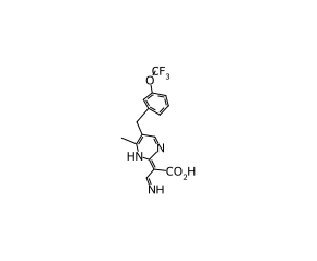 CC1=C(Cc2cccc(OC(F)(F)F)c2)C=N/C(=C(/C=N)C(=O)O)N1